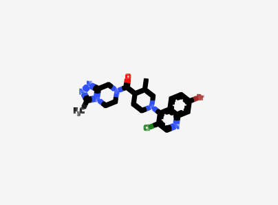 CC1CN(c2c(Cl)cnc3cc(Br)ccc23)CCC1C(=O)N1CCn2c(nnc2C(F)(F)F)C1